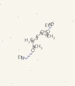 CC/N=C/C=C\C=C\C=C\c1ccc(N(C)CCCN(C)CCSSCCN(C)CCCN(C)c2ccc(/C=C/c3cccc[n+]3CC)cc2)cc1